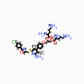 [C-]#[N+]c1c(N)nc(SCc2coc(-c3ccc(Cl)cc3)n2)c(C#N)c1-c1ccc(OC[C@H](COC(=O)[C@@H](N)CCCN)OC(=O)[C@@H](N)CCCN)cc1